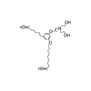 CCCCCCCCCCCCCCCCCCOc1cc(CCCCCCCCCCCCCCC)cc(OCCN(CCO)CCO)c1